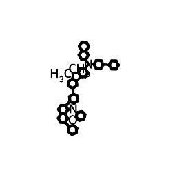 CC1(C)c2ccc(-c3ccc4c(c3)c3ccc5ccc6c7ccccc7oc6c5c3n4-c3ccccc3)cc2-c2ccc(N(c3ccc(-c4ccccc4)cc3)c3ccc4ccccc4c3)cc21